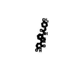 CN1CCN(CC(=O)Nc2cccc3c(C4CCC(=O)NC4=O)nsc23)CC1